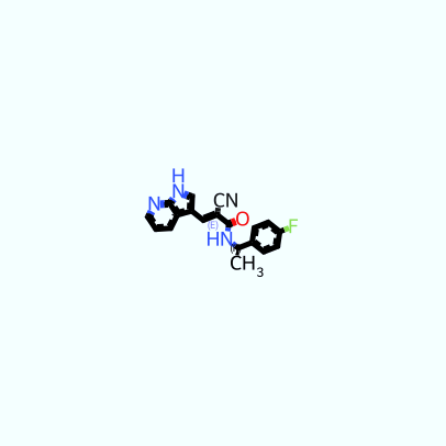 C[C@@H](NC(=O)/C(C#N)=C/c1c[nH]c2ncccc12)c1ccc(F)cc1